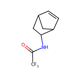 O=C(NC1CC2C=CC1C2)C(F)(F)F